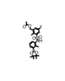 CC(=O)OCc1cc(F)cc(S(=O)(=O)Nc2cccc(B3OC(C)(C)C(C)(C)O3)c2C)c1C